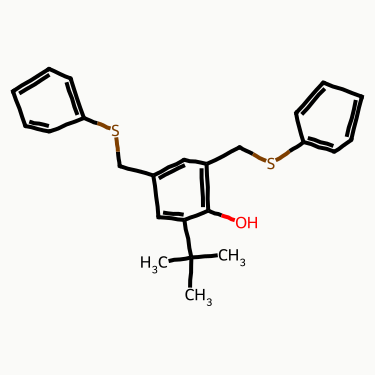 CC(C)(C)c1cc(CSc2ccccc2)cc(CSc2ccccc2)c1O